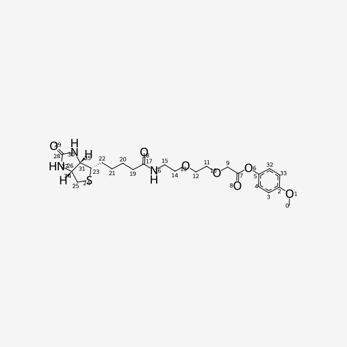 COc1ccc(OC(=O)COCCOCCNC(=O)CCCC[C@@H]2SC[C@@H]3NC(=O)N[C@@H]32)cc1